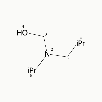 CC(C)CN(CO)C(C)C